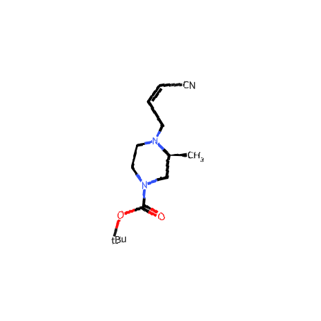 C[C@H]1CN(C(=O)OC(C)(C)C)CCN1C/C=C\C#N